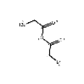 CC(C)(C)CC(=O)OC(=O)CBr